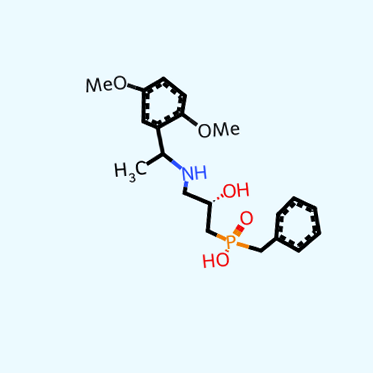 COc1ccc(OC)c(C(C)NC[C@H](O)CP(=O)(O)Cc2ccccc2)c1